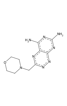 Nc1nc(N)c2nc(CN3CCOCC3)nnc2n1